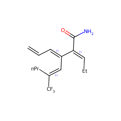 C=C/C=C(\C=C(/CCC)C(F)(F)F)C(=C\CC)/C(N)=O